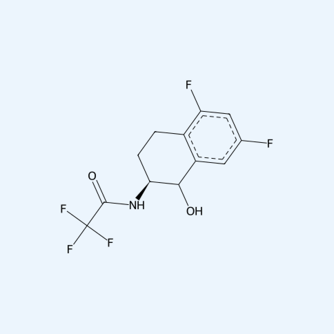 O=C(N[C@H]1CCc2c(F)cc(F)cc2C1O)C(F)(F)F